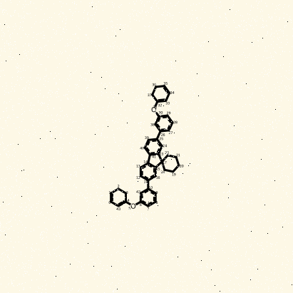 C1=CCCC(Oc2cccc(-c3ccc4c(c3)C3(CCCCC3)c3cc(-c5cccc(OC6=CC=CCC6)c5)ccc3-4)c2)=C1